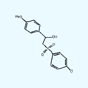 COc1ccc(C(O)CS(=O)(=O)c2ccc(Cl)cc2)cc1